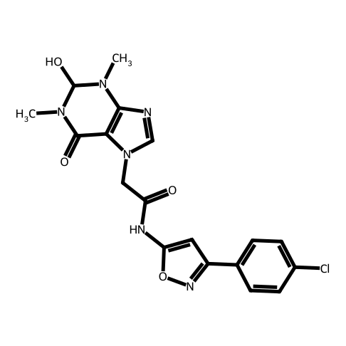 CN1C(=O)c2c(ncn2CC(=O)Nc2cc(-c3ccc(Cl)cc3)no2)N(C)C1O